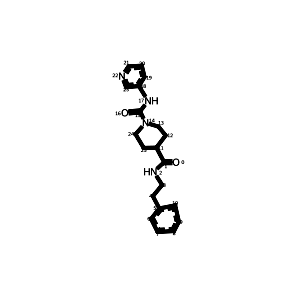 O=C(NCCc1ccccc1)C1CCN(C(=O)Nc2cccnc2)CC1